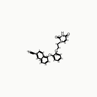 N#Cc1ccc2c(Oc3ccccc3OCCn3ccc(=O)[nH]c3=O)cccc2c1